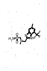 Cc1cc(C(F)(F)F)c2[nH]c(CN(C)CS(N)(=O)=O)nc2c1